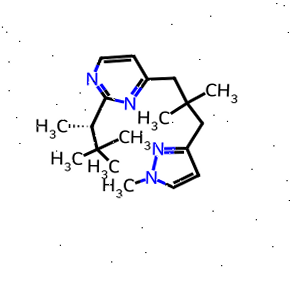 C[C@H](c1nccc(CC(C)(C)Cc2ccn(C)n2)n1)C(C)(C)C